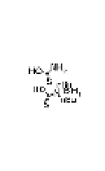 CCCCN(CCCC)C(O)=S.NC(O)=S.[BiH3]